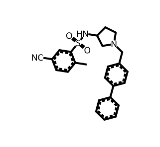 Cc1ccc(C#N)cc1S(=O)(=O)NC1CCN(Cc2ccc(-c3ccccc3)cc2)C1